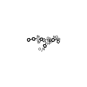 O=C(NS(=O)(=O)c1ccc(NC2CCCC2)c([N+](=O)[O-])c1)[C@@H]1Cc2cc(Br)c(OCc3ccc(-c4ccccc4)cc3)c(Br)c2CN1Cc1ccc([N+](=O)[O-])cc1